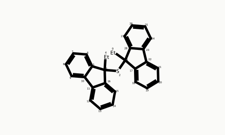 CCC1(SC2(CC)c3ccccc3-c3ccccc32)c2ccccc2-c2ccccc21